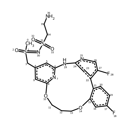 CS(=O)(Cc1cc2nc(c1)OCCCOc1cc(F)ccc1-c1cc(ncc1F)N2)=NS(=O)(=O)CCN